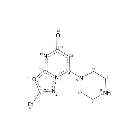 CCc1nn2c(N3CCNCC3)cc(=O)nc2o1